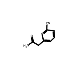 N#Cc1cccc(CC(N)=O)n1